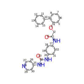 O=C(COc1ccccc1-c1ccccc1)Nc1ccc(NC(=O)Nc2ccncc2)cc1